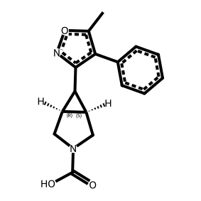 Cc1onc(C2[C@H]3CN(C(=O)O)C[C@@H]23)c1-c1ccccc1